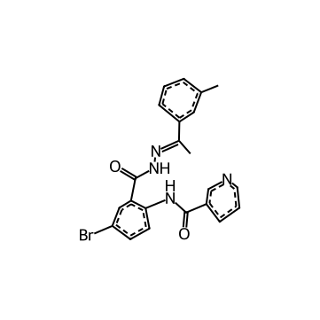 CC(=NNC(=O)c1cc(Br)ccc1NC(=O)c1cccnc1)c1cccc(C)c1